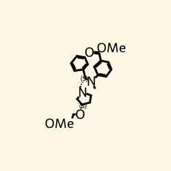 COCO[C@H]1CCN(C[C@H](c2ccccc2)N(C)c2cccc(C(=O)OC)c2)C1